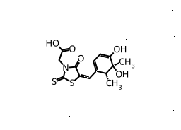 CC1C(C=C2SC(=S)N(CC(=O)O)C2=O)=CC=C(O)C1(C)O